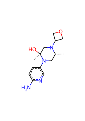 C[C@@H]1CN(c2ccc(N)nc2)[C@@](C)(O)CN1C1COC1